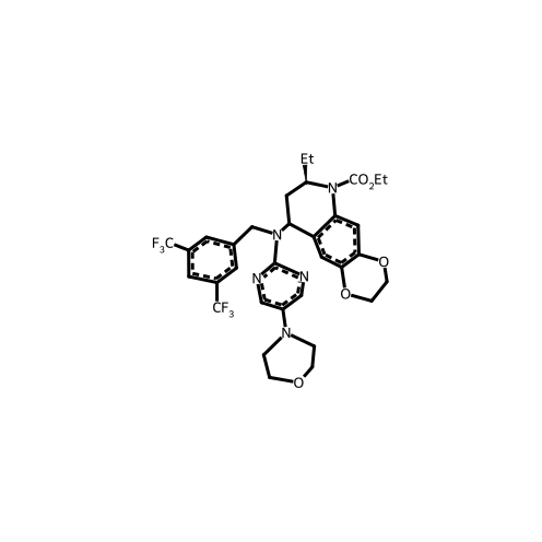 CCOC(=O)N1c2cc3c(cc2C(N(Cc2cc(C(F)(F)F)cc(C(F)(F)F)c2)c2ncc(N4CCOCC4)cn2)C[C@H]1CC)OCCO3